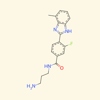 Cc1cccc2[nH]c(-c3ccc(C(=O)NCCCN)cc3F)nc12